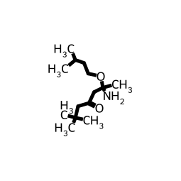 CC(C)CCOC(C)(N)CC(=O)CC(C)(C)C